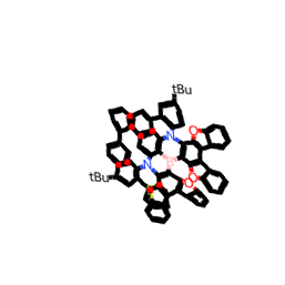 CC(C)(C)c1ccc(N2c3cc(-c4ccccc4-c4ccccc4)cc4c3B(c3c2c2oc5ccccc5c2c2c3oc3ccccc32)c2c(c3sc5ccccc5c3c3c2oc2ccccc23)N4c2ccc(C(C)(C)C)cc2-c2ccccc2)c(-c2ccccc2)c1